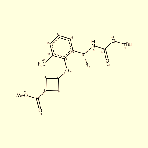 COC(=O)C1CC(Oc2c([C@@H](C)NC(=O)OC(C)(C)C)cccc2C(F)(F)F)C1